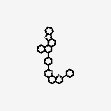 c1ccc(-c2ccc3ccc4ccc(-c5ccc(-c6cc7ccc8c9ccccc9sc8c7c7ccccc67)cc5)nc4c3n2)cc1